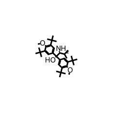 COc1c(C(C)(C)C)cc(C(O)(c2cc(C(C)(C)C)c(OC)c(C(C)(C)C)c2)[C@@H](N)C(C)C)cc1C(C)(C)C